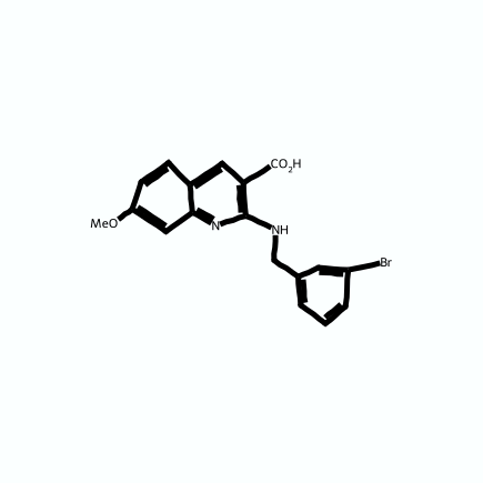 COc1ccc2cc(C(=O)O)c(NCc3cccc(Br)c3)nc2c1